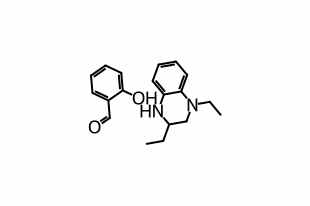 CCC1CN(CC)c2ccccc2N1.O=Cc1ccccc1O